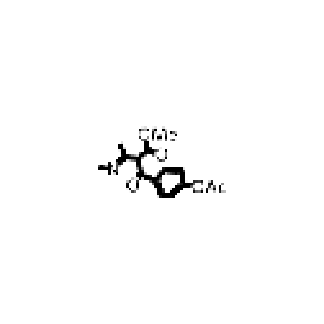 CN=C(C)C(C(=O)OC)C(=O)c1ccc(OC(C)=O)cc1